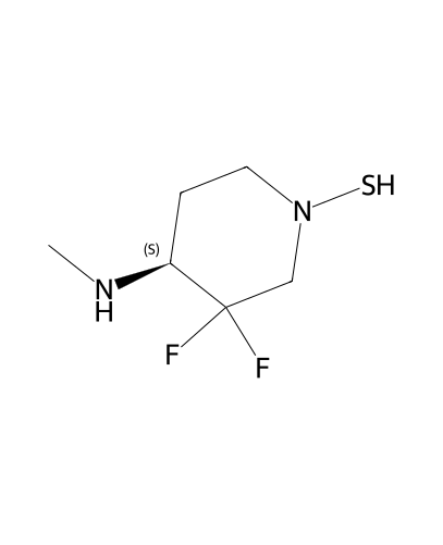 CN[C@H]1CCN(S)CC1(F)F